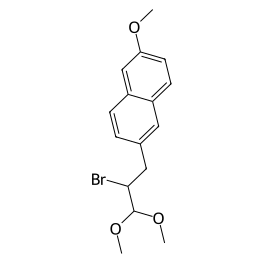 COc1ccc2cc(CC(Br)C(OC)OC)ccc2c1